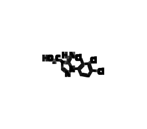 Nc1c(C(=O)O)cnn1-c1ccc(Cl)c(Cl)c1Cl